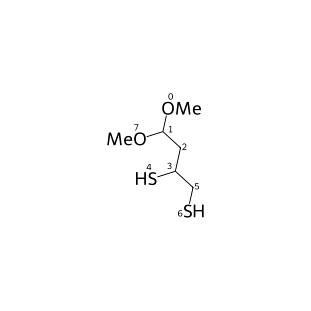 COC(CC(S)CS)OC